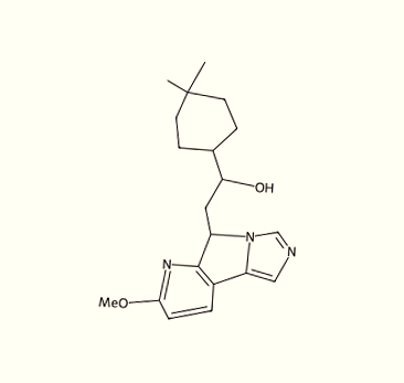 COc1ccc2c(n1)C(CC(O)C1CCC(C)(C)CC1)n1cncc1-2